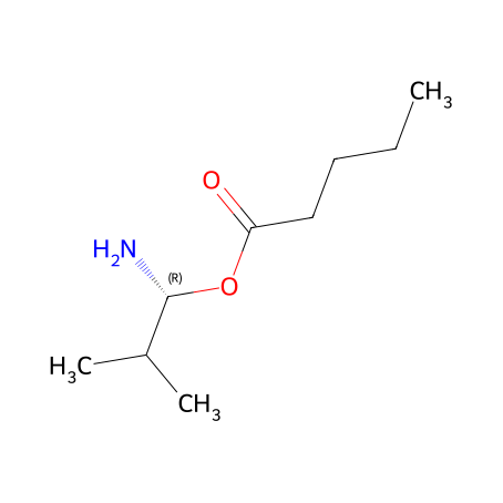 CCCCC(=O)O[C@@H](N)C(C)C